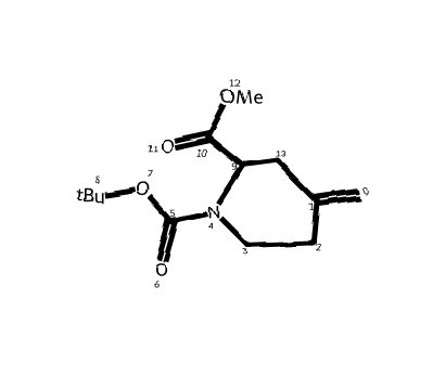 C=C1CCN(C(=O)OC(C)(C)C)C(C(=O)OC)C1